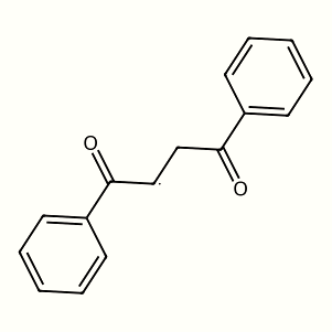 O=C([CH]CC(=O)c1ccccc1)c1ccccc1